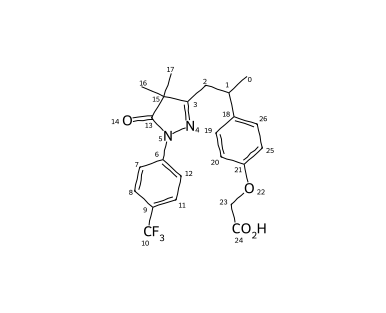 CC(CC1=NN(c2ccc(C(F)(F)F)cc2)C(=O)C1(C)C)c1ccc(OCC(=O)O)cc1